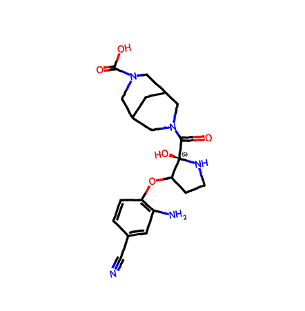 N#Cc1ccc(OC2CCN[C@@]2(O)C(=O)N2CC3CC(CN(C(=O)O)C3)C2)c(N)c1